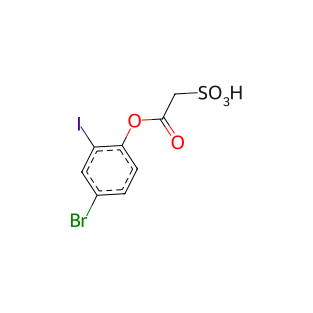 O=C(CS(=O)(=O)O)Oc1ccc(Br)cc1I